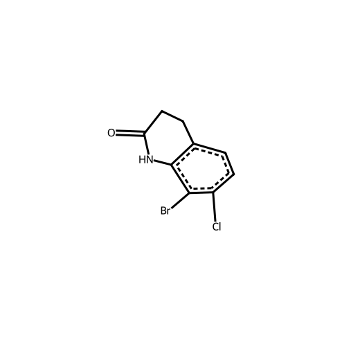 O=C1CCc2ccc(Cl)c(Br)c2N1